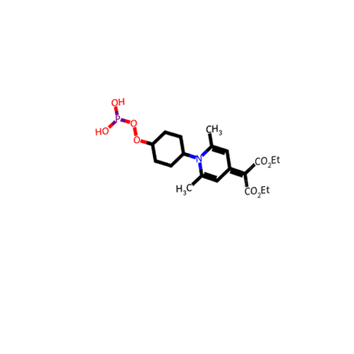 CCOC(=O)C(C(=O)OCC)=C1C=C(C)N(C2CCC(OOP(O)O)CC2)C(C)=C1